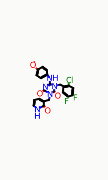 COc1ccc(Nc2nc(=O)n(Cc3ccc[nH]c3=O)c(=O)n2Cc2cc(F)c(F)cc2Cl)cc1